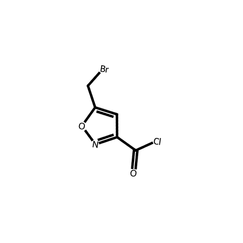 O=C(Cl)c1cc(CBr)on1